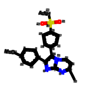 COc1ccc(-c2nc3nc(C)ccn3c2-c2ccc(S(=O)(=O)NC(C)=O)cc2)cc1